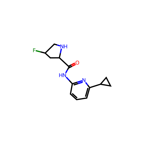 O=C(Nc1cccc(C2CC2)n1)C1CC(F)CN1